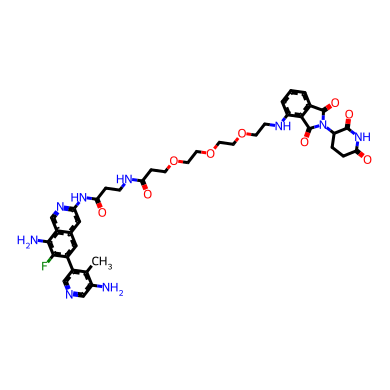 Cc1c(N)cncc1-c1cc2cc(NC(=O)CCNC(=O)CCOCCOCCOCCNc3cccc4c3C(=O)N(C3CCC(=O)NC3=O)C4=O)ncc2c(N)c1F